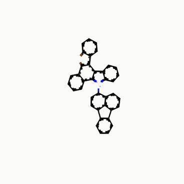 c1ccc2c(c1)-c1cccc3c(-n4c5ccccc5c5c6c7ccccc7sc6c6ccccc6c54)ccc-2c13